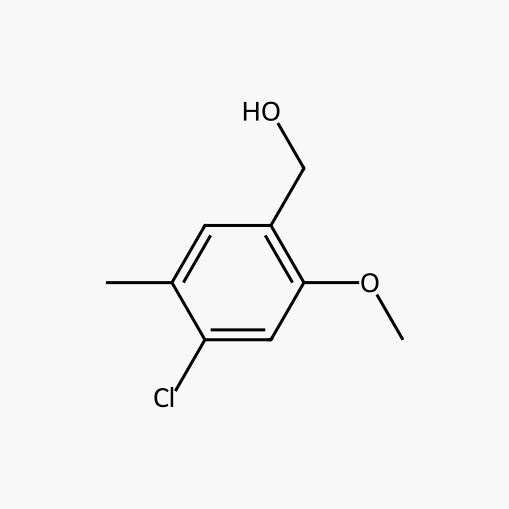 COc1cc(Cl)c(C)cc1CO